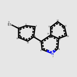 CCc1ccc(-c2cncc3ccccc23)cc1